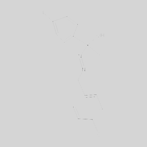 CC(O)(/N=N/Cc1ccc(Cl)cc1)c1ccc(I)cc1